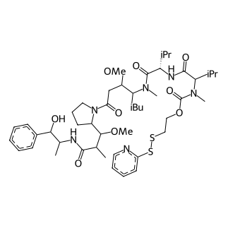 CCC(C)C(C(CC(=O)N1CCCC1C(OC)C(C)C(=O)NC(C)C(O)c1ccccc1)OC)N(C)C(=O)[C@@H](NC(=O)C(C(C)C)N(C)C(=O)OCCSSc1ccccn1)C(C)C